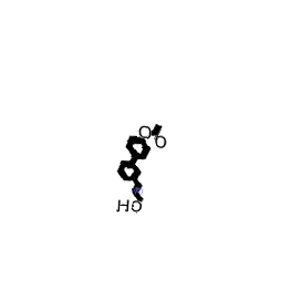 CC(=O)Oc1ccc(-c2cccc(/C=C/CO)c2)cc1